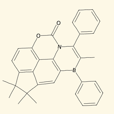 CC1=C(c2ccccc2)N2C(=O)Oc3ccc4c5c(cc(c2c35)B1c1ccccc1)C(C)(C)C4(C)C